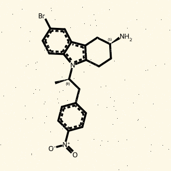 C[C@H](Cc1ccc([N+](=O)[O-])cc1)n1c2c(c3cc(Br)ccc31)C[C@@H](N)CC2